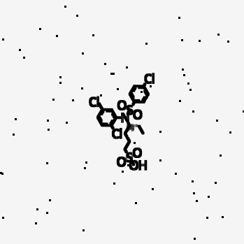 CC[C@H](CCCS(=O)(=O)O)N(c1cc(Cl)ccc1Cl)S(=O)(=O)c1ccc(Cl)cc1